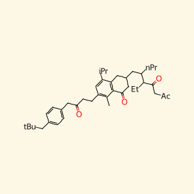 CCCC(CC1CC(=O)c2c(C)c(CCC(=O)Cc3ccc(CC(C)(C)C)cc3)cc(C(C)C)c2C1)C(CC)C(=O)CC(C)=O